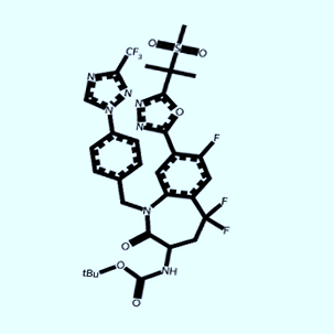 CC(C)(C)OC(=O)NC1CC(F)(F)c2cc(F)c(-c3nnc(C(C)(C)S(C)(=O)=O)o3)cc2N(Cc2ccc(-n3cnc(C(F)(F)F)n3)cc2)C1=O